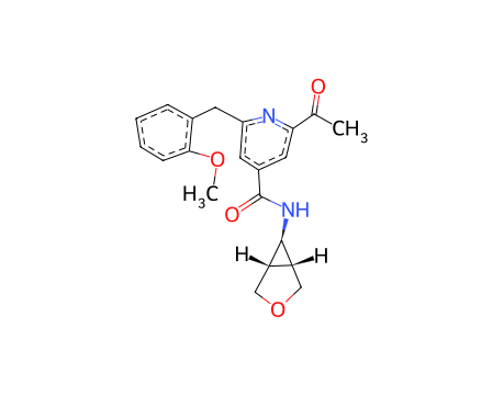 COc1ccccc1Cc1cc(C(=O)N[C@H]2[C@@H]3COC[C@@H]32)cc(C(C)=O)n1